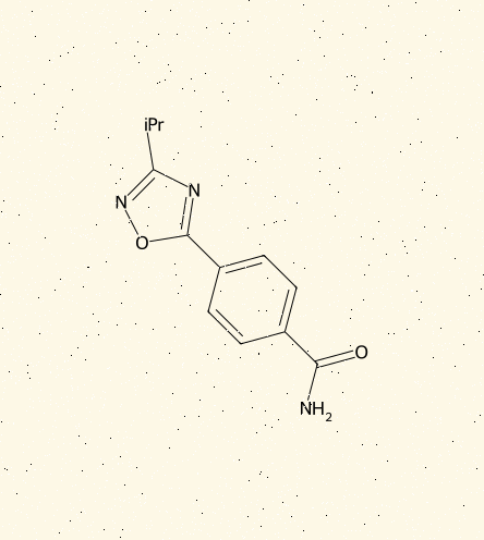 CC(C)c1noc(-c2ccc(C(N)=O)cc2)n1